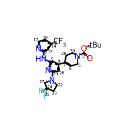 CC(C)(C)OC(=O)N1CC=C(c2cc(Nc3cc(C(F)(F)F)ccn3)nc(N3CCC(F)(F)C3)c2)CC1